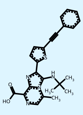 Cc1cnc(C(=O)O)c2nc(-c3ccc(C#Cc4ccccc4)s3)c(NC(C)(C)C)n12